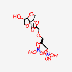 O=C(COCC(CON(O)O)ON(O)O)O[C@@H]1COC2[C@H](O)CO[C@@H]21